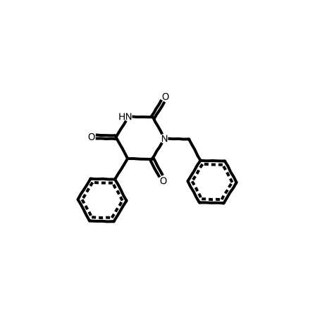 O=C1NC(=O)N(Cc2ccccc2)C(=O)C1c1ccccc1